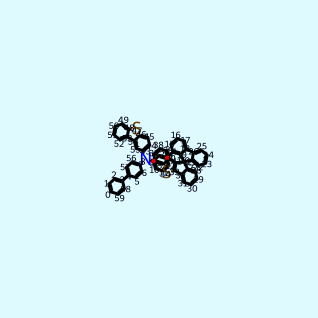 c1ccc(-c2ccc(N(c3cccc(-c4cccc5c4C4(c6ccccc6-5)c5ccccc5-c5sc6ccccc6c54)c3)c3ccc4sc5ccccc5c4c3)cc2)cc1